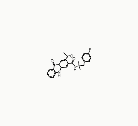 C[S+]([O-])C1=CC2C(=O)c3ccccc3NC2C=C1C(=O)NC(C)(C)Cc1ccc(F)cc1